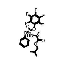 CC(C)COC(=O)[C@H](C)N[P@@](=O)(Oc1ccccc1)Oc1c(F)c(F)c(F)c(F)c1F